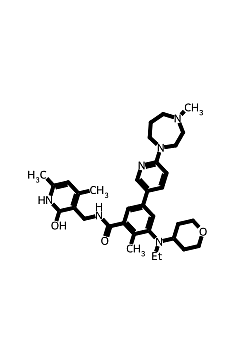 CCN(c1cc(-c2ccc(N3CCCN(C)CC3)nc2)cc(C(=O)NCC2=C(C)C=C(C)NC2O)c1C)C1CCOCC1